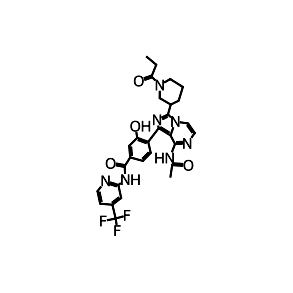 CCC(=O)N1CCCC(c2nc(-c3ccc(C(=O)Nc4cc(C(F)(F)F)ccn4)cc3O)c3c(NC(C)=O)nccn23)C1